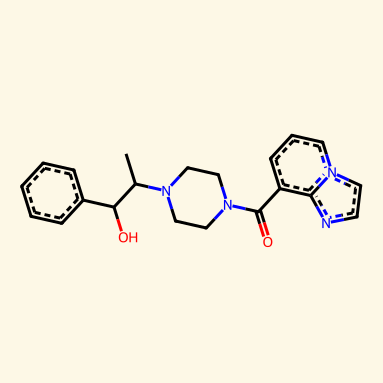 CC(C(O)c1ccccc1)N1CCN(C(=O)c2cccn3ccnc23)CC1